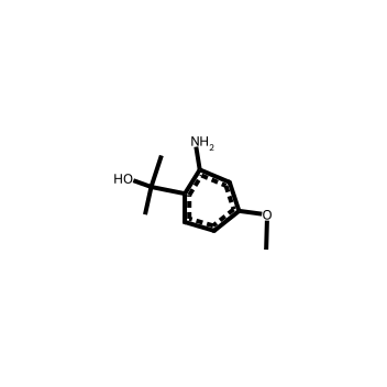 COc1ccc(C(C)(C)O)c(N)c1